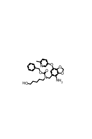 Cc1ccc(Oc2cc(CN(CCCCCO)C(=O)OCc3ccccc3)c(N)c3c2OCO3)cn1